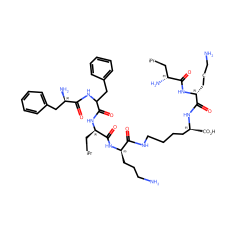 CC(C)C[C@@H](N)C(=O)N[C@H](CCCN)C(=O)N[C@H](CCCCNC(=O)[C@@H](CCCN)NC(=O)[C@@H](CC(C)C)NC(=O)C(Cc1ccccc1)NC(=O)[C@H](N)Cc1ccccc1)C(=O)O